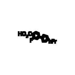 CCCc1ccc(-c2ccc(C(=O)O)c(F)c2)cc1